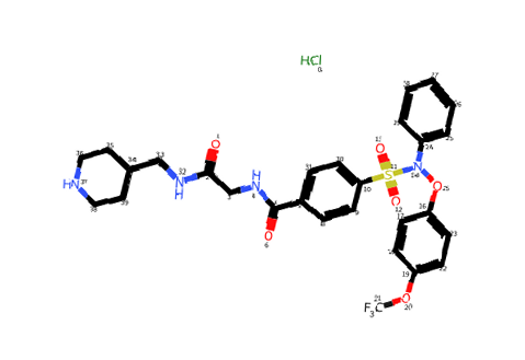 Cl.O=C(CNC(=O)c1ccc(S(=O)(=O)N(Oc2ccc(OC(F)(F)F)cc2)c2ccccc2)cc1)NCC1CCNCC1